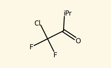 CC(C)C(=O)C(F)(F)Cl